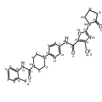 O=C(Nc1ccc(N2CCN(C(=O)Nc3ccccc3F)CC2)nc1)c1oc(N2CCCC2=O)nc1C(F)(F)F